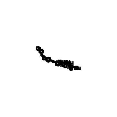 CC(C)(C)c1cc(NC(=O)Nc2cn3cc(C#Cc4ccc(OCCN5CCC6(COC6)C5)cc4)ccc3n2)no1